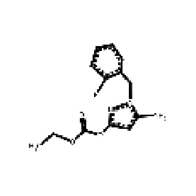 CCOC(=O)Oc1cc(N)n(Cc2ccccc2F)n1